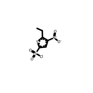 CCc1sc(S(=O)(=O)Cl)cc1[N+](=O)[O-]